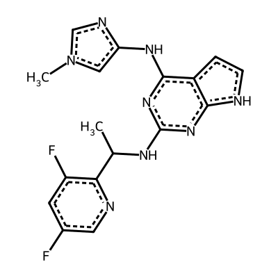 CC(Nc1nc(Nc2cn(C)cn2)c2cc[nH]c2n1)c1ncc(F)cc1F